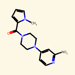 Cn1cccc1C(=O)N1CCN(c2ccnc([N+](=O)[O-])c2)CC1